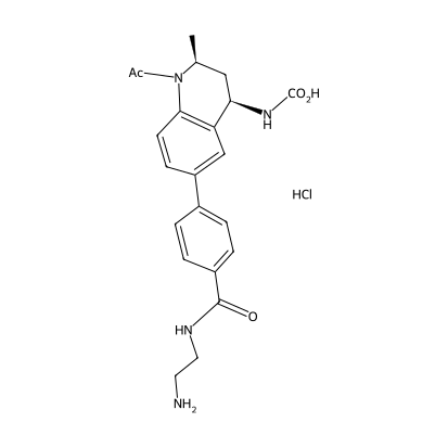 CC(=O)N1c2ccc(-c3ccc(C(=O)NCCN)cc3)cc2[C@H](NC(=O)O)C[C@@H]1C.Cl